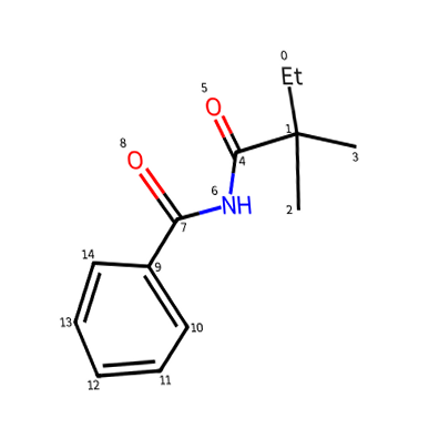 CCC(C)(C)C(=O)NC(=O)c1ccccc1